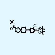 CC(C)(C)OC(=O)N1CCC2(CCC(c3ccc(B4OC(C)(C)C(C)(C)O4)c(Cl)c3)CC2)C1